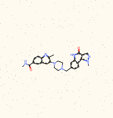 CNC(=O)c1ccc2nc(C)c(N3CCN(Cc4ccc5c(c4)[nH]c(=O)c4cnn(C)c45)CC3)cc2c1